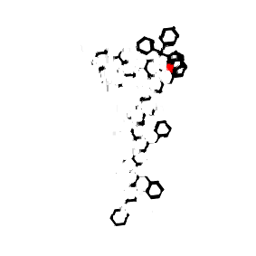 CC(C)C[C@@H](C(=O)N(C)[C@H](C(=O)N[C@@H](Cc1ccccc1)C(=O)N[C@@H](CC(=O)O)C(=O)N(C)[C@@H](Cc1ccccc1)C(=O)N[C@@H](C)C(=O)N1CCCCC1)C(C)C)N(C)C(=O)CNC(=O)[C@H](Cc1ccccc1)N(C)C(=O)[C@@H](NC(=O)[C@H](CC(C)C)N(C)C(=O)C(NC(=O)[C@H](C)N(C)C(=O)OC(C)(C)C)C(C)C)[C@@H](C)OC(c1ccccc1)(c1ccccc1)c1ccccc1